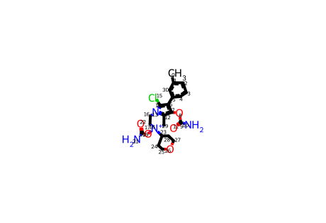 Cc1cccc(-c2c(OC(N)=O)c3n(c2Cl)CC[N+](OC(N)=O)(C2CCOCC2)C3)c1